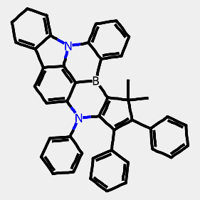 CC1(C)C2=C(C(c3ccccc3)=C1c1ccccc1)N(c1ccccc1)c1ccc3c4c(n5c3c1B2c1ccccc1-5)=CCCC=4